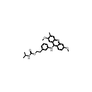 COc1ccc2c(Nc3cccc(CCOC(=O)NC(C)C)c3)c3cc(OC)c(C)cc3nc2c1